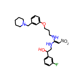 O=[N+]([O-])/C=C(\NCCCOc1cccc(CN2CCCCC2)c1)NCC(O)c1cccc(F)c1